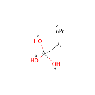 CCCCC(O)(O)O